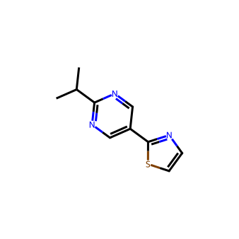 CC(C)c1ncc(-c2nccs2)cn1